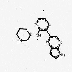 c1cnc(-c2cnc3[nH]ccc3n2)c(N[C@H]2CCCNC2)n1